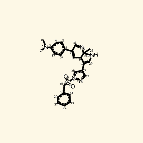 CN(C)c1ccc(C2=CC3C(c4cnn(S(=O)(=O)Cc5ccccc5)c4)=CNC3(C)N=C2)cc1